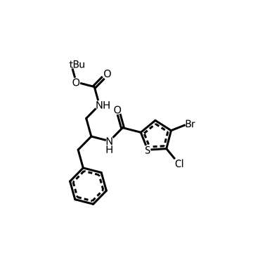 CC(C)(C)OC(=O)NCC(Cc1ccccc1)NC(=O)c1cc(Br)c(Cl)s1